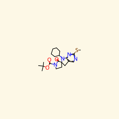 CSc1ncc2c(n1)N(C1CCCCC1)C1(CCN(C(=O)OC(C)(C)C)C1=O)C2